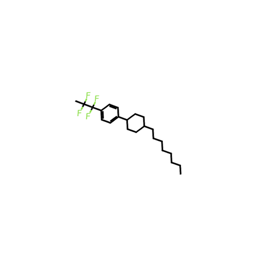 CCCCCCCCC1CCC(c2ccc(C(F)(F)C(C)(F)F)cc2)CC1